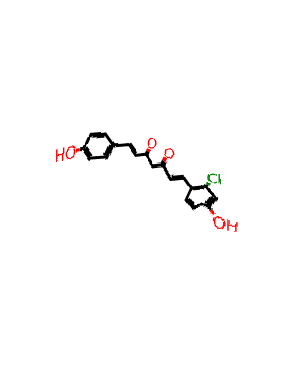 O=C(C=Cc1ccc(O)cc1)CC(=O)C=Cc1ccc(O)cc1Cl